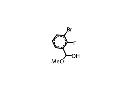 COC(O)c1cccc(Br)c1F